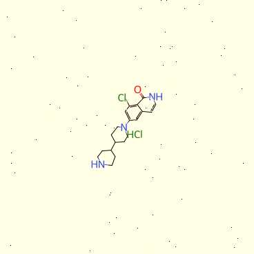 Cl.O=c1[nH]ccc2cc(N3CCC(C4CCNCC4)CC3)cc(Cl)c12